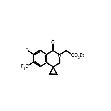 CCOC(=O)CN1CC2(CC2)c2cc(C(F)(F)F)c(F)cc2C1=O